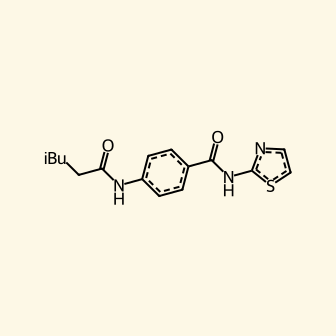 CCC(C)CC(=O)Nc1ccc(C(=O)Nc2nccs2)cc1